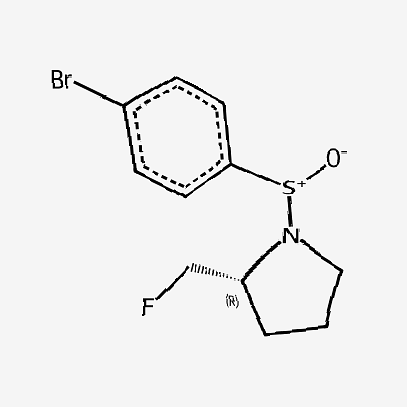 [O-][S+](c1ccc(Br)cc1)N1CCC[C@@H]1CF